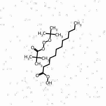 CC(C)(C)OOOC(=O)C(C)(C)C.CCCCCCCCCCCC(=O)OO